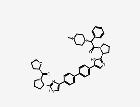 CN1CCN(C(C(=O)N2CCC[C@H]2c2ncc(-c3ccc(-c4ccc(-c5c[nH]c([C@@H]6CCCN6C(=O)[C@H]6CCCO6)n5)cc4)cc3)[nH]2)c2ccccc2)CC1